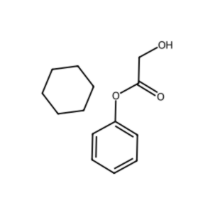 C1CCCCC1.O=C(CO)Oc1ccccc1